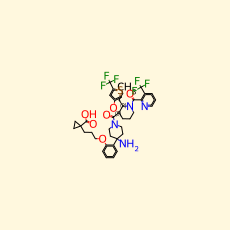 CCC[C@H]1N(C(=O)c2ncccc2C(F)(F)F)CCC[C@@]1(Oc1csc(C(F)(F)F)c1)C(=O)N1CCC(N)(c2ccccc2OCCCC2(C(=O)O)CC2)CC1